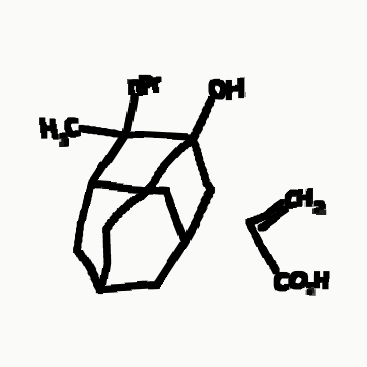 C=CC(=O)O.CCCC1(C)C2CC3CC(C2)CC1(O)C3